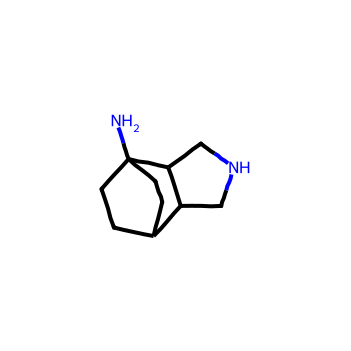 NC12CCC(CC1)C1CNCC12